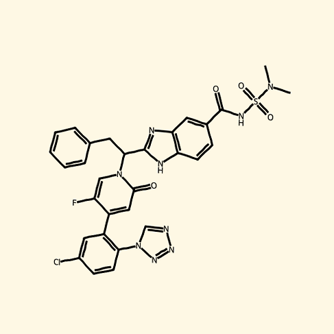 CN(C)S(=O)(=O)NC(=O)c1ccc2[nH]c(C(Cc3ccccc3)n3cc(F)c(-c4cc(Cl)ccc4-n4cnnn4)cc3=O)nc2c1